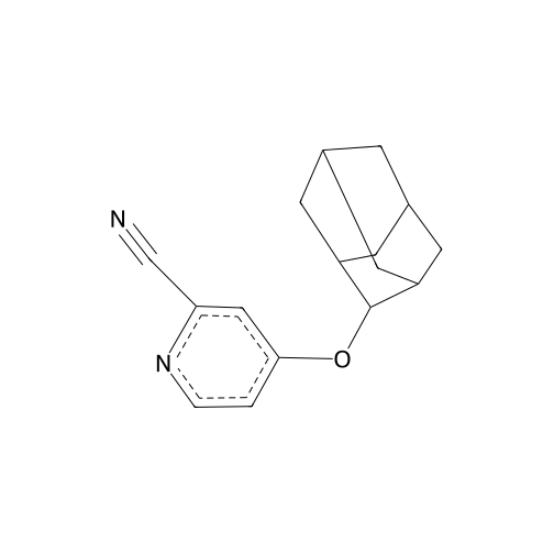 N#Cc1cc(OC2C3CC4CC(C3)CC2C4)ccn1